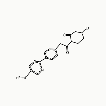 CCCCCc1cnc(-c2ccc(CC(=O)C3CCC(CC)CC3=O)cc2)nc1